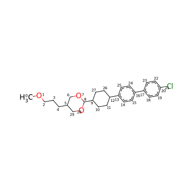 COCCCC1COC(C2CCC(c3ccc(-c4ccc(Cl)cc4)cc3)CC2)OC1